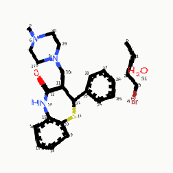 CCCCBr.CN1CCN(CC2C(=O)Nc3ccccc3SC2c2ccccc2)CC1.O